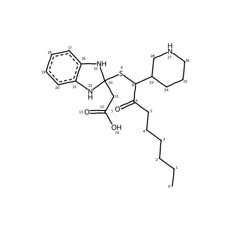 CCCCCCC(=O)C(SC1(CC(=O)O)Nc2ccccc2N1)C1CCCNC1